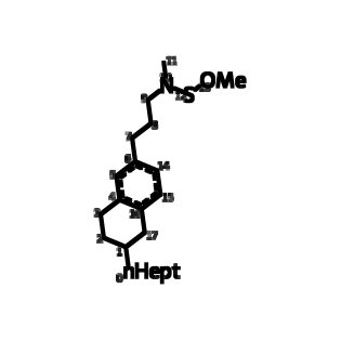 CCCCCCCC1CCc2cc(CCCN(C)SOC)ccc2C1